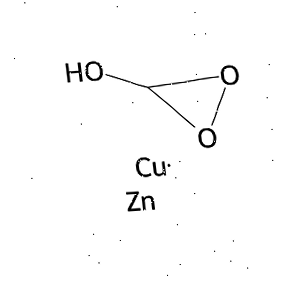 OC1OO1.[Cu].[Zn]